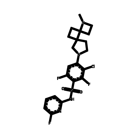 CN1CCC12CCC21CCN(c2cc(F)c(S(=O)(=O)Nc3cccc(F)n3)c(F)c2Cl)C1